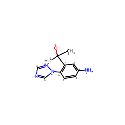 [CH2]C(C)(O)c1cc(N)ccc1-n1cncn1